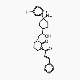 CN(C)C1(c2cccc(F)c2)CCC(C(O)CN2CCCN(C(=O)/C=C/c3ccccc3)C2=O)CC1